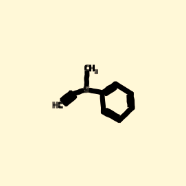 C#C[Si](C)c1ccccc1